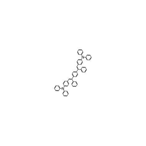 C(=C(/c1ccccc1)c1ccc(/C(=C/c2ccc(N(c3ccccc3)c3ccccc3)cc2)c2ccccc2)cc1)/c1ccc(N(c2ccccc2)c2ccccc2)cc1